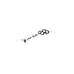 C[C@]12CC[C@H](O)C[C@H]1CC[C@@H]1[C@@H]2CC[C@]2(C)[C@@H](CCCNOCCCCNC(=N)N)CC[C@]12O